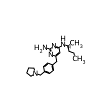 CCC[C@H](C)Nc1cc(Cc2ccc(CN3CCCC3)cc2)nc(N)n1